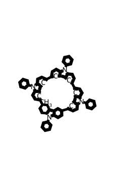 CC12C=Cc3c(c4cc(ccc4n3-c3ccccc3)-c3ccc4c(c3)c3cc(ccc3n4-c3ccccc3)-c3ccc4c(c3)c3cc(ccc3n4-c3ccccc3)-c3ccc4c(c3)c3cc1ccc3n4-c1ccccc1)C2